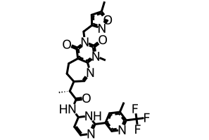 Cc1cc(Cn2c(=O)c3c(n(C)c2=O)N=CC([C@@H](C)C(=O)NC2C=CN=C(c4cnc(C(F)(F)F)c(C)c4)N2)CC3)no1